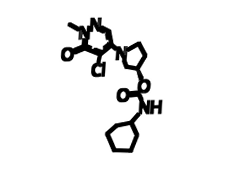 Cn1ncc(N2CC[C@@H](OC(=O)NC3CCCCC3)C2)c(Cl)c1=O